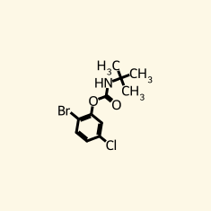 CC(C)(C)NC(=O)Oc1cc(Cl)ccc1Br